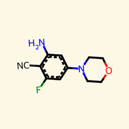 N#Cc1c(N)cc(N2CCOCC2)cc1F